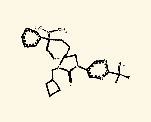 CN(C)[C@]1(c2ccccc2)CC[C@]2(CC1)CN(c1cnc(C(F)(F)P)nc1)C(=O)N2CC1CCC1